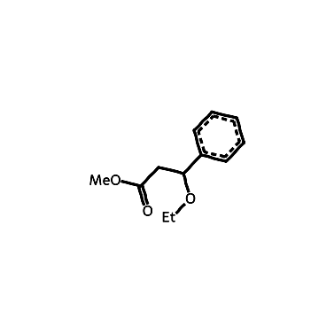 CCOC(CC(=O)OC)c1ccccc1